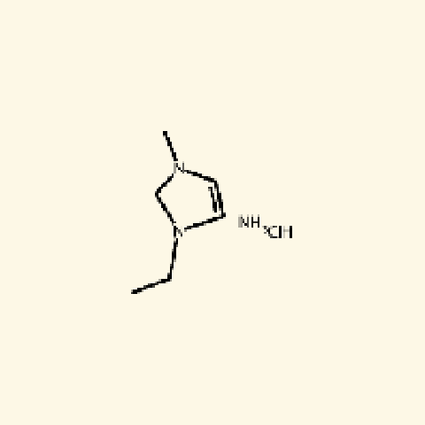 CCN1C=CN(C)C1.Cl.N